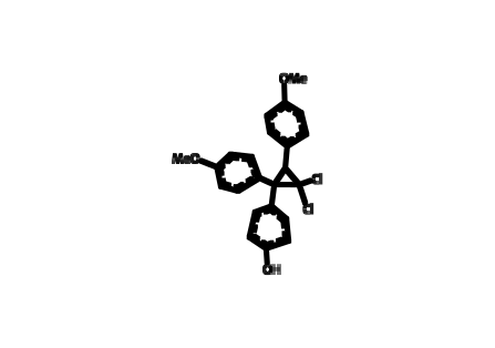 COc1ccc(C2C(Cl)(Cl)C2(c2ccc(O)cc2)c2ccc(OC)cc2)cc1